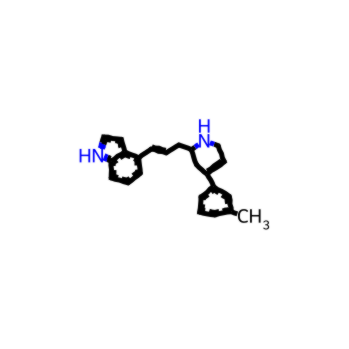 Cc1cccc(C2=CCNC(CC=Cc3cccc4[nH]ccc34)C2)c1